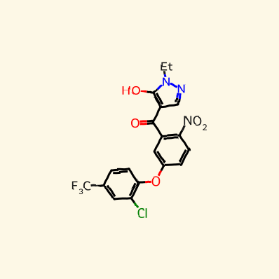 CCn1ncc(C(=O)c2cc(Oc3ccc(C(F)(F)F)cc3Cl)ccc2[N+](=O)[O-])c1O